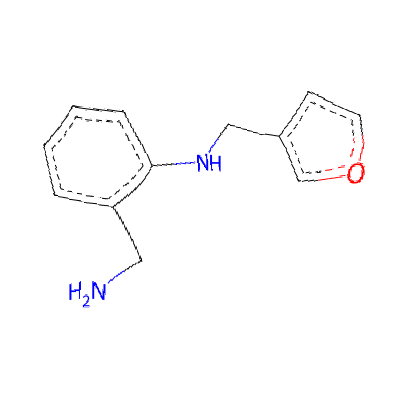 NCc1ccccc1NCc1ccoc1